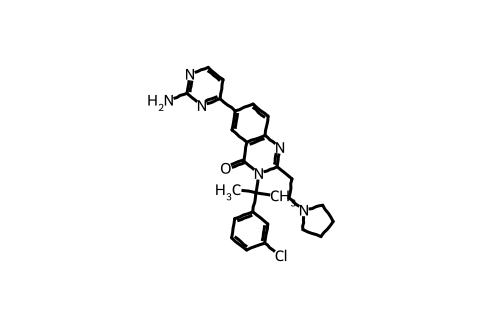 CC(C)(c1cccc(Cl)c1)n1c(CCN2CCCC2)nc2ccc(-c3ccnc(N)n3)cc2c1=O